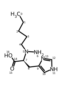 CCCCCN(N)[C@@H](Cc1c[nH]cn1)C(=O)O